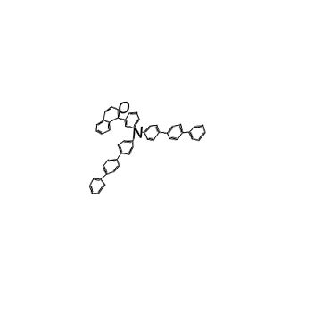 c1ccc(-c2ccc(-c3ccc(N(c4ccc(-c5ccc(-c6ccccc6)cc5)cc4)c4ccc5oc6ccc7ccccc7c6c5c4)cc3)cc2)cc1